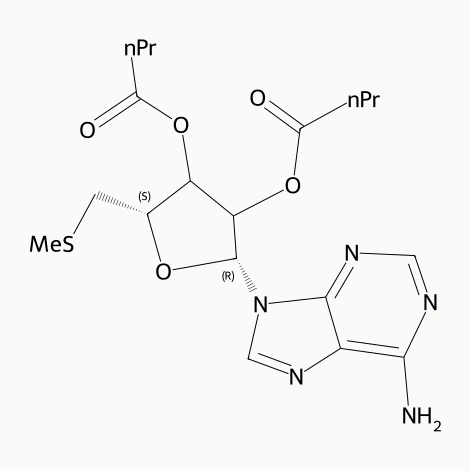 CCCC(=O)OC1C(OC(=O)CCC)[C@@H](CSC)O[C@H]1n1cnc2c(N)ncnc21